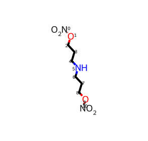 O=[N+]([O-])OCCCNCCCO[N+](=O)[O-]